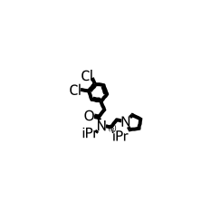 CC(C)[C@@H](CN1CCCC1)N(C(=O)Cc1ccc(Cl)c(Cl)c1)C(C)C